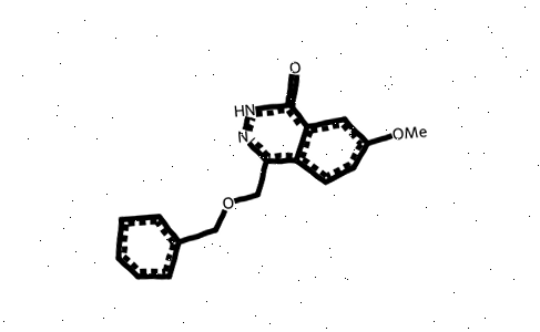 COc1ccc2c(COCc3ccccc3)n[nH]c(=O)c2c1